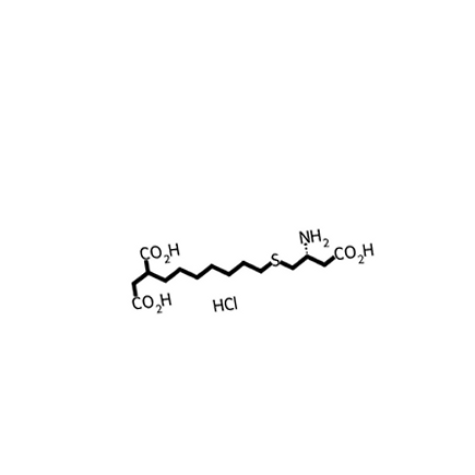 Cl.N[C@@H](CSCCCCCCCC(CC(=O)O)C(=O)O)CC(=O)O